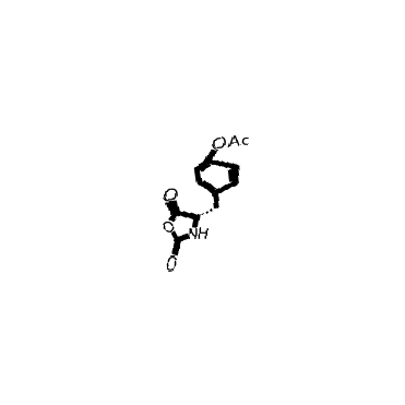 CC(=O)Oc1ccc(C[C@@H]2NC(=O)OC2=O)cc1